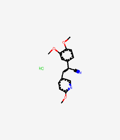 COc1ccc(/C=C(\C#N)c2ccc(OC)c(OC)c2)cn1.Cl